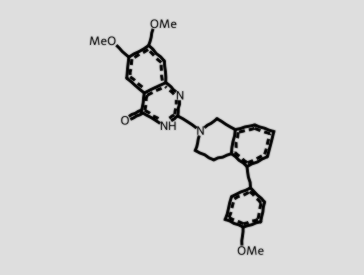 COc1ccc(-c2cccc3c2CCN(c2nc4cc(OC)c(OC)cc4c(=O)[nH]2)C3)cc1